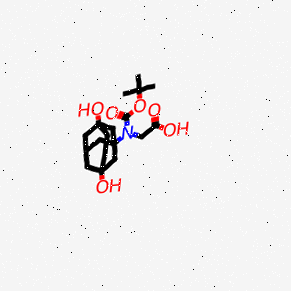 CC(C)(C)OC(=O)N(CC(=O)O)C12CC3CC(O)(CC(O)(C3)C1)C2